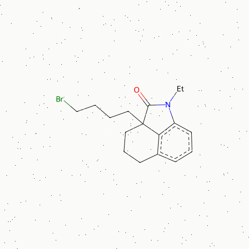 CCN1C(=O)C2(CCCCBr)CCCc3cccc1c32